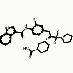 O=C(Nc1ccc(CC(=O)C(F)(O[C@H]2CC[C@H](C(=O)O)CC2)N2CCCC2)cc1Br)c1c[nH]c2ccccc12